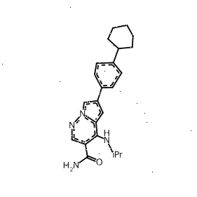 CC(C)Nc1c(C(N)=O)cnn2cc(-c3ccc(C4CCCCC4)cc3)cc12